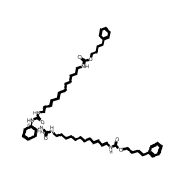 O=C(NCCCCCCCCCCCCNC(=O)OCCCCc1ccccc1)N[C@@H]1CCCC[C@H]1NC(=O)NCCCCCCCCCCCCNC(=O)OCCCCc1ccccc1